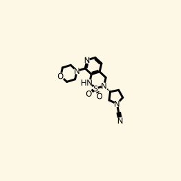 N#CN1CC[C@@H](N2Cc3ccnc(N4CCOCC4)c3NS2(=O)=O)C1